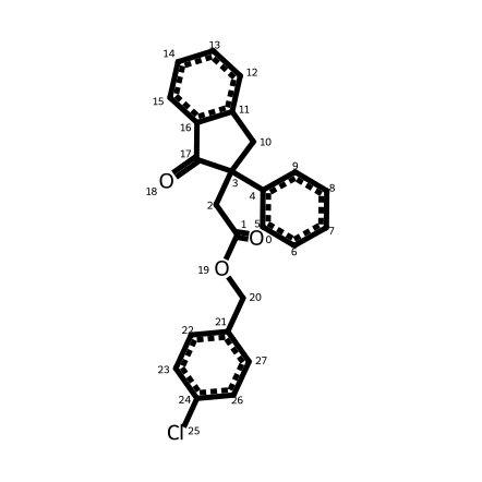 O=C(CC1(c2ccccc2)Cc2ccccc2C1=O)OCc1ccc(Cl)cc1